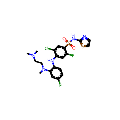 CN(C)CCN(C)c1cc(F)ccc1Nc1cc(F)c(S(=O)(=O)Nc2nccs2)cc1Cl